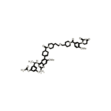 COc1cc2nc(C)nc(N[C@H](C)c3cc(OC(N)=O)cc(C(F)(F)F)c3)c2cc1C1=CCC(C(=O)N2CCC(CCOCC3CCN(C(=O)c4ccc(OC)c(N5CCC(=O)NC5=O)c4)CC3)CC2)CC1